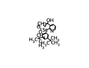 COCOc1c([Se]c2ncccc2C(=O)O)cc(C(C)(C)C)cc1C(C)(C)C